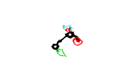 O=Cc1cc(/C=C/c2cccc(Cl)c2)cc(OC(F)(F)F)c1